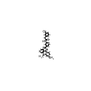 COc1cncc2nc(-c3ccnc(NC(=O)Cc4cccc(Cl)c4)c3)nc(N3CCN(C)CC3)c12